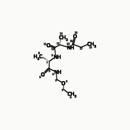 CCOCNC(=O)[C@H](C)NC(=O)[C@H](C)NC(=O)CC